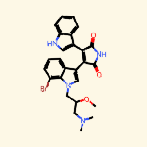 COC(CN(C)C)Cn1cc(C2=C(c3c[nH]c4ccccc34)C(=O)NC2=O)c2cccc(Br)c21